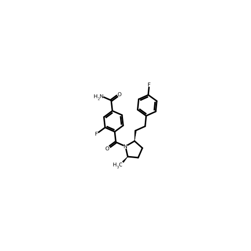 C[C@@H]1CC[C@H](CCc2ccc(F)cc2)N1C(=O)c1ccc(C(N)=O)cc1F